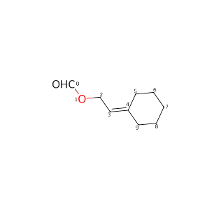 O=COCC=C1CCCCC1